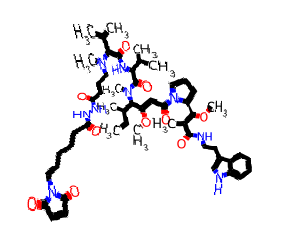 CCC(C)C(C(CC(=O)N1CCC[C@H]1C(OC)C(C)C(=O)NCCc1c[nH]c2ccccc12)OC)N(C)C(=O)C(NC(=O)C(C(C)C)N(C)CCCC(=O)NNC(=O)CCCCCN1C(=O)C=CC1=O)C(C)C